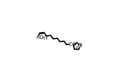 C1CCOC1.CCCCCCCC/C=C\CCCCCCCC(=O)O